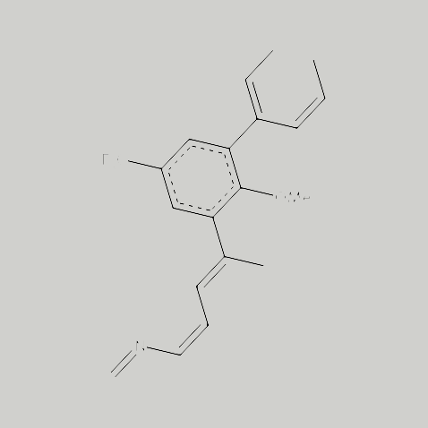 C=N/C=C\C=C(/C)c1cc(C(F)(F)F)cc(C(/C=C\C)=C/C)c1OC